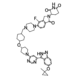 CC1(Oc2ccc3n[nH]c(-c4cc(N5CCC(OC6CCC(CN7CCN(c8ccc9c(c8F)CN(C8CCC(=O)NC8=O)C9=O)CC7)CC6)CC5)ncn4)c3c2)CC1